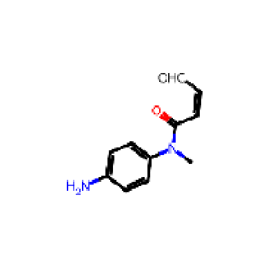 CN(C(=O)/C=C\C=O)c1ccc(N)cc1